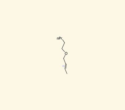 C/C=C/COCCCCC